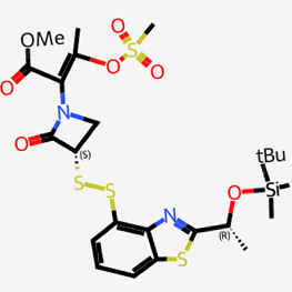 COC(=O)C(=C(C)OS(C)(=O)=O)N1C[C@H](SSc2cccc3sc([C@@H](C)O[Si](C)(C)C(C)(C)C)nc23)C1=O